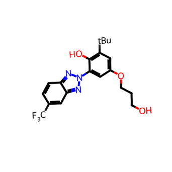 CC(C)(C)c1cc(OCCCO)cc(-n2nc3ccc(C(F)(F)F)cc3n2)c1O